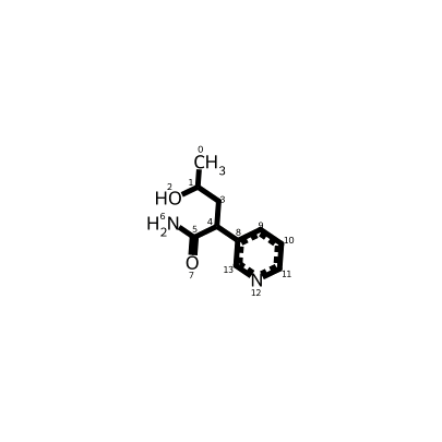 CC(O)CC(C(N)=O)c1cccnc1